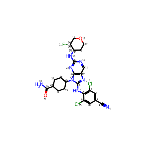 N#Cc1cc(Cl)c(Nc2nc3cnc(N[C@@H]4CCOC[C@H]4F)nc3n2C2CCC(C(N)=O)CC2)c(Cl)c1